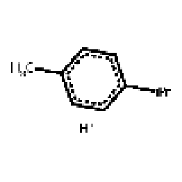 Cc1ccc(C(C)C)cc1.[H+]